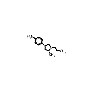 CCCN1C[C@H](c2ccc(N)cc2)C[C@@H]1C